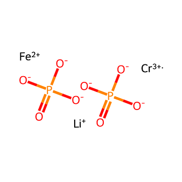 O=P([O-])([O-])[O-].O=P([O-])([O-])[O-].[Cr+3].[Fe+2].[Li+]